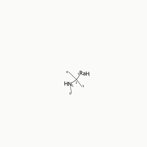 CN[C](C)(C)[RaH]